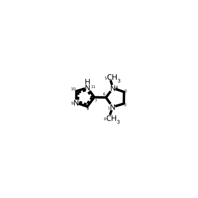 CN1CCN(C)C1c1cnc[nH]1